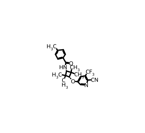 Cc1ccc(C(=O)N[C@H]2C(C)(C)[C@H](Oc3cnc(C#N)c(C(F)(F)F)c3)C2(C)C)cc1